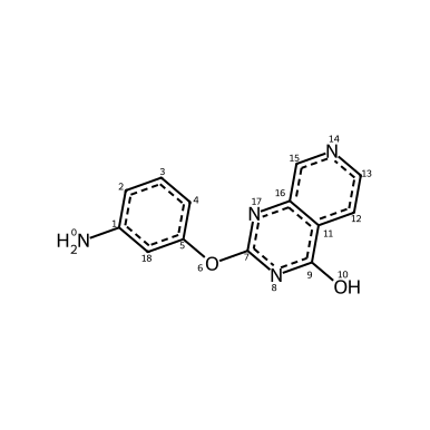 Nc1cccc(Oc2nc(O)c3ccncc3n2)c1